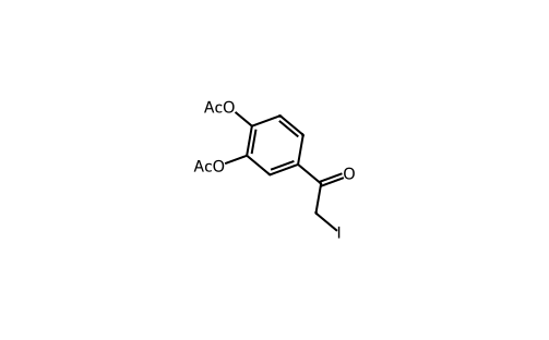 CC(=O)Oc1ccc(C(=O)CI)cc1OC(C)=O